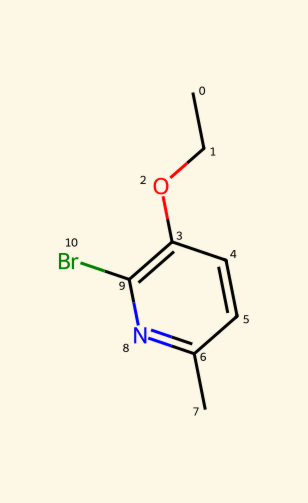 CCOc1ccc(C)nc1Br